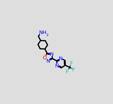 NCC1CCC(c2nc(-c3ncc(C(F)(F)F)cn3)no2)CC1